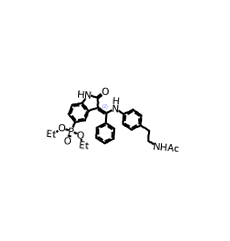 CCOP(=O)(OCC)c1ccc2c(c1)/C(=C(/Nc1ccc(CCNC(C)=O)cc1)c1ccccc1)C(=O)N2